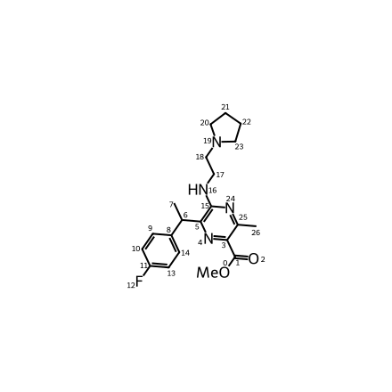 COC(=O)c1nc(C(C)c2ccc(F)cc2)c(NCCN2CCCC2)nc1C